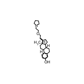 C[C@]12CC[C@@H]3c4ccc(O)cc4CC[C@H]3[C@@H]1CC/C2=C\COCCN1CCCC1